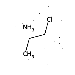 CCCCl.N